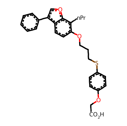 CCCc1c(OCCCSc2ccc(OCC(=O)O)cc2)ccc2c(-c3ccccc3)coc12